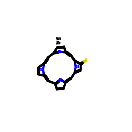 S=C1C=C2C=C3C=CC(=N3)C=c3ccc([nH]3)=CC3=NC(=CC1N2)C=C3.[Sm].[Zn]